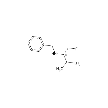 CC(C)[C@@H](CF)NCc1ccccc1